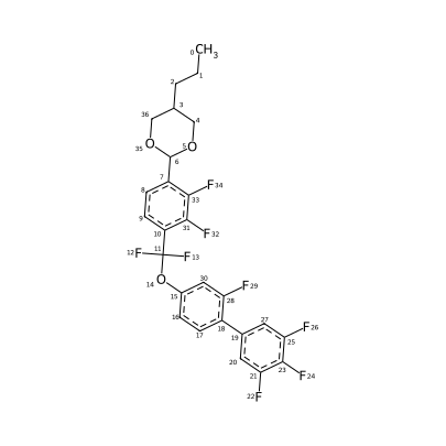 CCCC1COC(c2ccc(C(F)(F)Oc3ccc(-c4cc(F)c(F)c(F)c4)c(F)c3)c(F)c2F)OC1